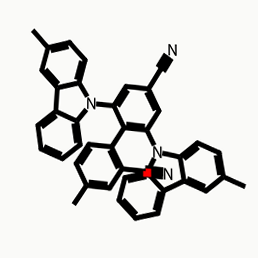 Cc1ccc(-c2c(-n3c4ccccc4c4cc(C)ccc43)cc(C#N)cc2-n2c3ccccc3c3cc(C)ccc32)c(C#N)c1